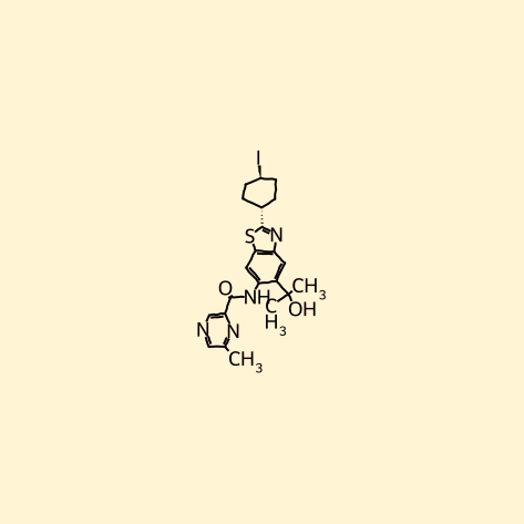 Cc1cncc(C(=O)Nc2cc3sc([C@H]4CC[C@H](I)CC4)nc3cc2C(C)(C)O)n1